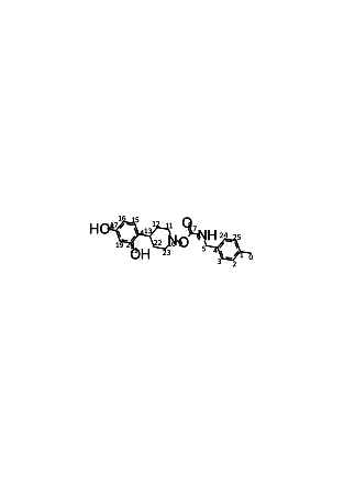 Cc1ccc(CNC(=O)ON2CCC(c3ccc(O)cc3O)CC2)cc1